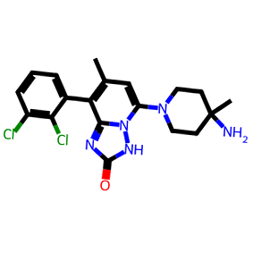 Cc1cc(N2CCC(C)(N)CC2)n2[nH]c(=O)nc2c1-c1cccc(Cl)c1Cl